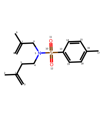 C=C(C)CCN(CC(=C)C)S(=O)(=O)c1ccc(C)cc1